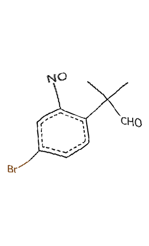 CC(C)(C=O)c1ccc(Br)cc1N=O